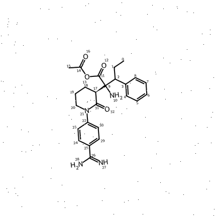 CCC(c1ccccc1)C(N)(C(=O)OC(C)=O)[C@@H]1CCCN(c2ccc(C(=N)N)cc2)C1=O